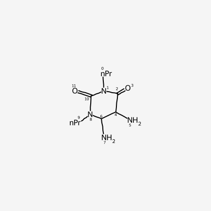 CCCN1C(=O)C(N)C(N)N(CCC)C1=O